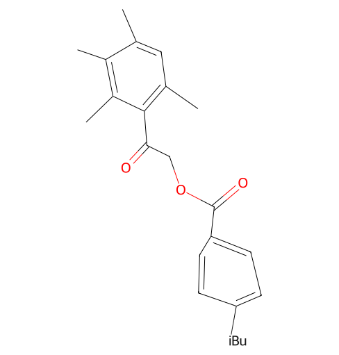 CCC(C)c1ccc(C(=O)OCC(=O)c2c(C)cc(C)c(C)c2C)cc1